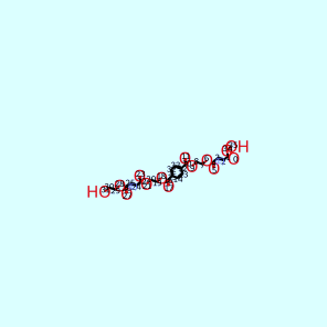 O=C(/C=C/C(=O)OCCOC(=O)c1ccc(C(=O)OCCOC(=O)/C=C/C(=O)OCCO)cc1)OO